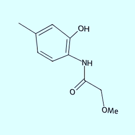 COCC(=O)Nc1ccc(C)cc1O